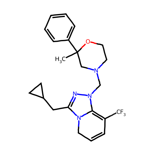 CC1(c2ccccc2)CN(CN2N=C(CC3CC3)N3CC=CC(C(F)(F)F)=C23)CCO1